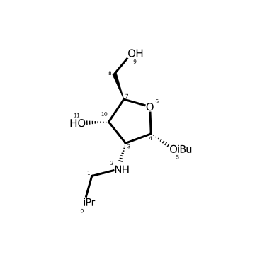 CC(C)CN[C@H]1[C@@H](OCC(C)C)O[C@H](CO)[C@H]1O